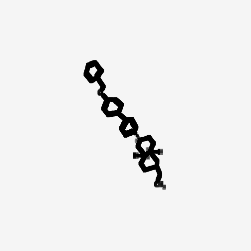 CCC1CC[C@@H]2C[C@H](c3ccc(-c4ccc(OCc5ccccc5)cc4)cc3)CC[C@@H]2C1